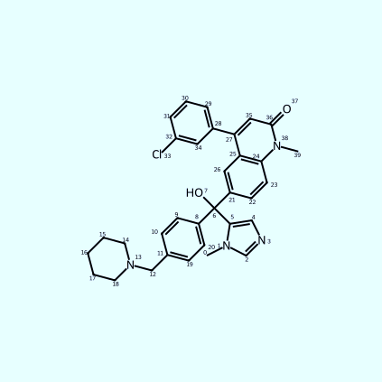 Cn1cncc1C(O)(c1ccc(CN2CCCCC2)cc1)c1ccc2c(c1)c(-c1cccc(Cl)c1)cc(=O)n2C